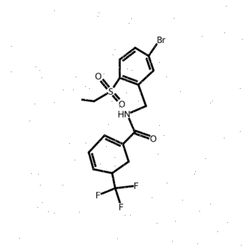 CCS(=O)(=O)c1ccc(Br)cc1CNC(=O)C1=CC=CC(C(F)(F)F)C1